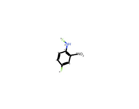 O=[N+]([O-])c1cc(F)ccc1NF